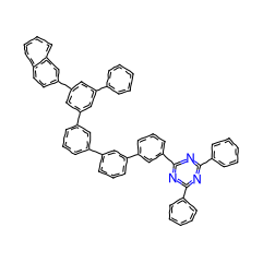 c1ccc(-c2cc(-c3cccc(-c4cccc(-c5cccc(-c6nc(-c7ccccc7)nc(-c7ccccc7)n6)c5)c4)c3)cc(-c3ccc4ccccc4c3)c2)cc1